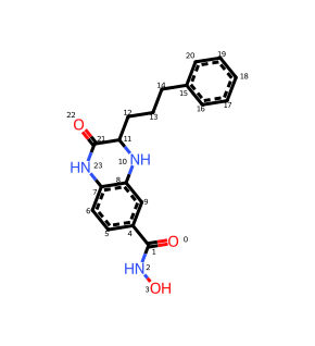 O=C(NO)c1ccc2c(c1)NC(CCCc1ccccc1)C(=O)N2